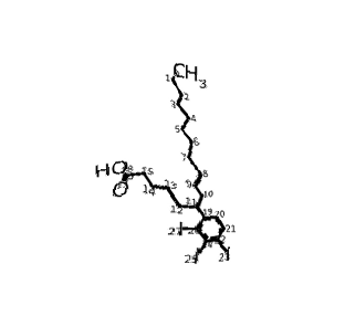 CCCCCCCCCCCC(CCCCC(=O)O)c1ccc(I)c(I)c1I